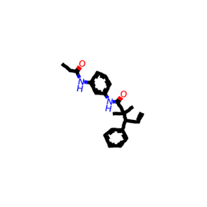 C=CC(c1ccccc1)C(C)(C)C(=O)Nc1cccc(NC(=O)CC)c1